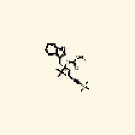 CC(C)(C)[C@@](/C=C/C#C[Si](C)(C)C)(Cc1c[nH]c2ccccc12)OC(N)=O